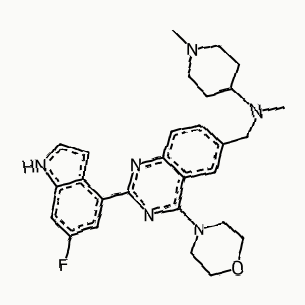 CN1CCC(N(C)Cc2ccc3nc(-c4cc(F)cc5[nH]ccc45)nc(N4CCOCC4)c3c2)CC1